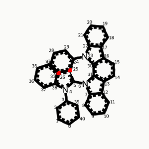 c1ccc(-n2c(-n3c4ccccc4c4ccc5c6ccccc6n(-c6ccccc6)c5c43)nc3ccccc32)cc1